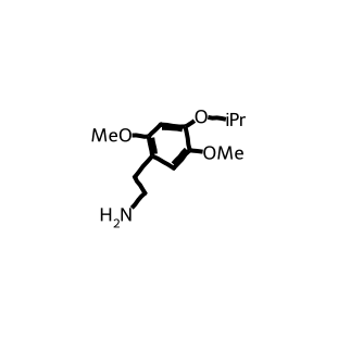 COc1cc(OC(C)C)c(OC)cc1CCN